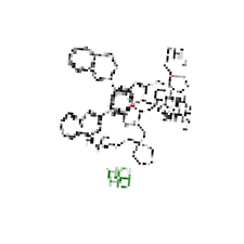 CCCC1(CC2=Cc3c(-c4ccc5ccccc5c4)cccc3[CH]2[Zr]([CH3])([CH3])(=[SiH2])[CH]2C(CC3(CCC)CCCC3)=Cc3c(-c4ccc5ccccc5c4)cccc32)CCCC1.Cl.Cl